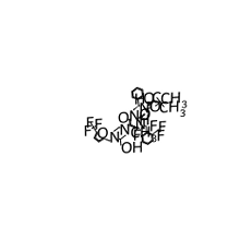 Cc1c(N2CCN(Cc3ccc(C(F)(F)F)o3)C(CO)C2)c(=O)n(C[C@H](NC(=O)OC(C)(C)C)c2ccccc2)c(=O)n1Cc1c(F)cccc1C(F)(F)F